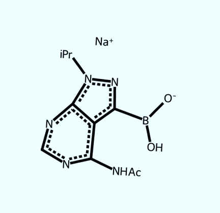 CC(=O)Nc1ncnc2c1c(B([O-])O)nn2C(C)C.[Na+]